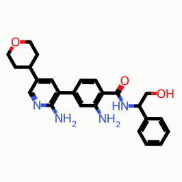 Nc1cc(-c2cc(C3CCOCC3)cnc2N)ccc1C(=O)NC(CO)c1ccccc1